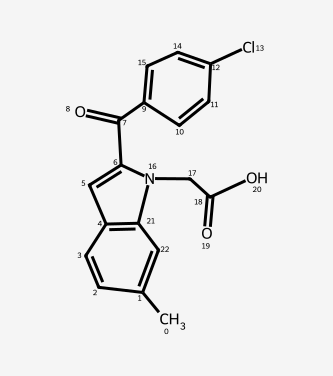 Cc1ccc2cc(C(=O)c3ccc(Cl)cc3)n(CC(=O)O)c2c1